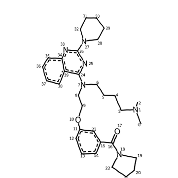 CN(C)CCCCN(CCOc1cccc(C(=O)N2CCCC2)c1)c1nc(N2CCCCC2)nc2ccccc12